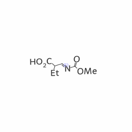 CCC(/C=N/C(=O)OC)C(=O)O